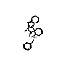 CNC(=S)C1(c2cnc3ccccn23)CCCCC1NCc1ccccc1